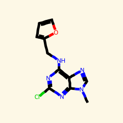 Cn1cnc2c(NCc3ccco3)nc(Cl)nc21